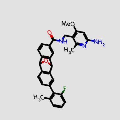 COc1cc(N)nc(C)c1CNC(=O)c1ccc2c(c1)C1OC2c2ccc(-c3c(C)cccc3F)cc21